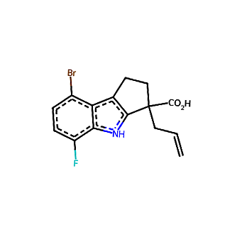 C=CCC1(C(=O)O)CCc2c1[nH]c1c(F)ccc(Br)c21